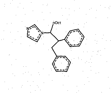 CCCCCCCCC(C(Cc1ccccc1)c1ccccc1)n1ccnc1